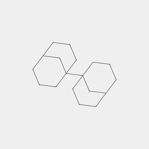 C1CC2CCCC(C34CCCC(CCC3)C4)(C1)C2